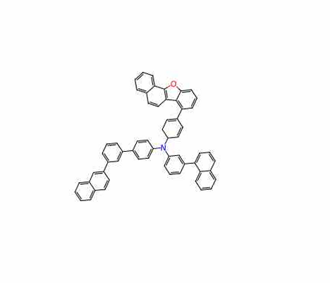 C1=CC(N(c2ccc(-c3cccc(-c4ccc5ccccc5c4)c3)cc2)c2cccc(-c3cccc4ccccc34)c2)CC=C1c1cccc2oc3c4ccccc4ccc3c12